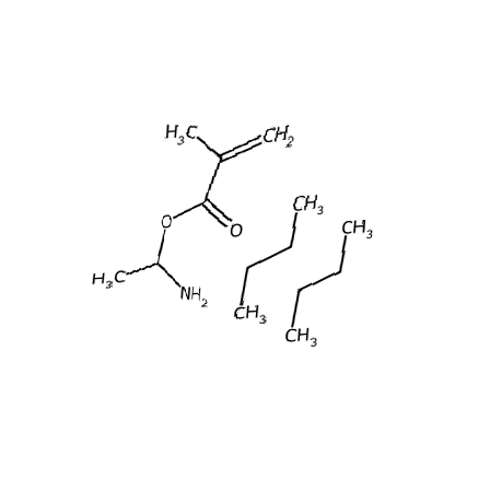 C=C(C)C(=O)OC(C)N.CCCC.CCCC